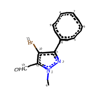 Cn1nc(-c2ccccc2)c(Br)c1C=O